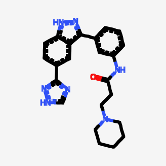 O=C(CCN1CCCCC1)Nc1cccc(-c2n[nH]c3ccc(-c4nc[nH]n4)cc23)c1